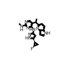 CNc1ncc(C(C)c2ccc3[nH]ccc3n2)c(Nc2cc([C@H]3C[C@H]3F)[nH]n2)n1